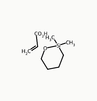 C=CC(=O)O.C[Si]1(C)CCCCO1